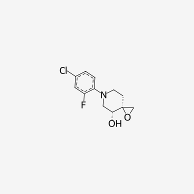 O[C@@H]1CN(c2ccc(Cl)cc2F)CC[C@@]12CO2